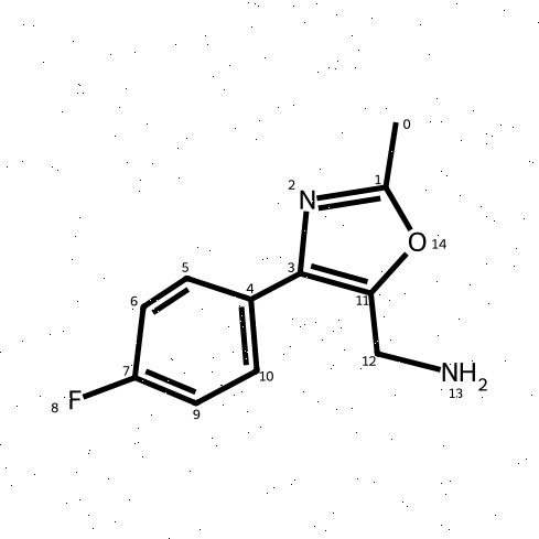 Cc1nc(-c2ccc(F)cc2)c(CN)o1